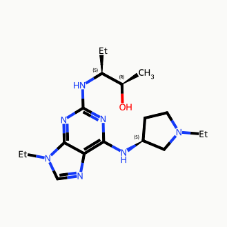 CC[C@H](Nc1nc(N[C@H]2CCN(CC)C2)c2ncn(CC)c2n1)[C@@H](C)O